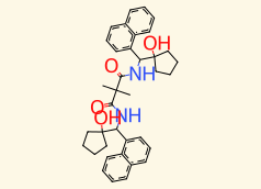 CC(C)(C(=O)NC(c1cccc2ccccc12)C1(O)CCCC1)C(=O)NC(c1cccc2ccccc12)C1(O)CCCC1